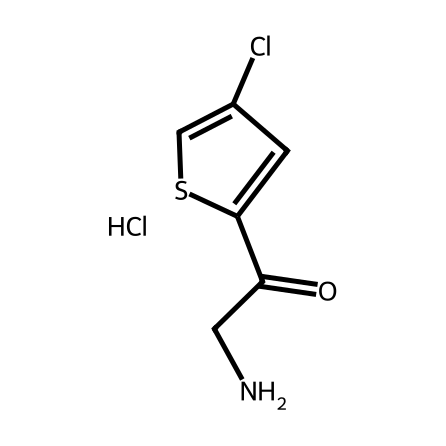 Cl.NCC(=O)c1cc(Cl)cs1